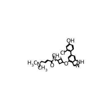 CN(C)C/C=C/C(=O)N(C)C1CC(Oc2cc(-c3ccc(O)cc3Cl)cc3[nH]ncc23)C1